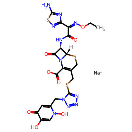 CCO/N=C(\C(=O)N[C@@H]1C(=O)N2C(C(=O)[O-])=C(CSc3nnnn3Cc3cc(=O)c(O)cn3O)CS[C@@H]12)c1nsc(N)n1.[Na+]